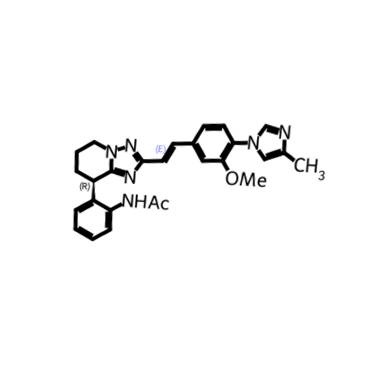 COc1cc(/C=C/c2nc3n(n2)CCC[C@@H]3c2ccccc2NC(C)=O)ccc1-n1cnc(C)c1